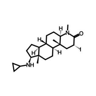 CN1C(=O)[C@H](I)C[C@]2(C)[C@H]3CC[C@]4(C)[C@@H](NC5CC5)CC[C@H]4[C@@H]3CC[C@@H]12